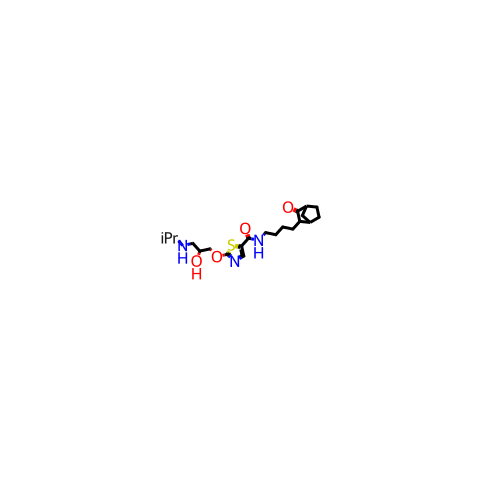 CC(C)NCC(O)COc1ncc(C(=O)NCCCCC2C(=O)C3CCC2C3)s1